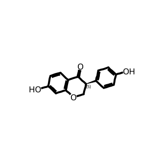 O=C1c2ccc(O)cc2OC[C@@H]1c1ccc(O)cc1